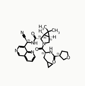 CC1(C)[C@@H]2[C@@H](C(=O)N[C@H](C#N)c3cncc4cccnc34)N(C(=O)[C@H](CC3CC3)NC(=O)[C@H]3CCOC3)C[C@@H]21